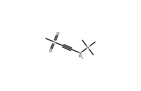 C[N+](C)(C)[SiH2]C#CS(C)(=O)=O